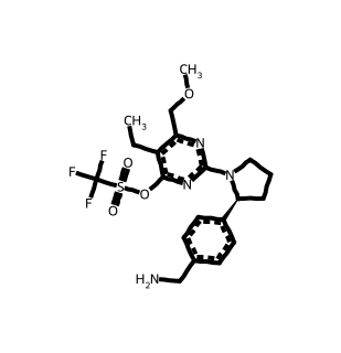 CCc1c(COC)nc(N2CCC[C@H]2c2ccc(CN)cc2)nc1OS(=O)(=O)C(F)(F)F